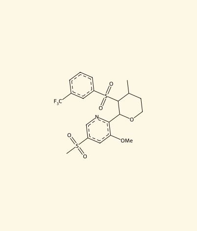 COc1cc(S(C)(=O)=O)cnc1C1OCCC(C)C1S(=O)(=O)c1cccc(C(F)(F)F)c1